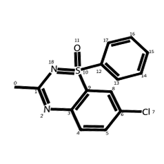 CC1=Nc2ccc(Cl)cc2S(=O)(c2ccccc2)=N1